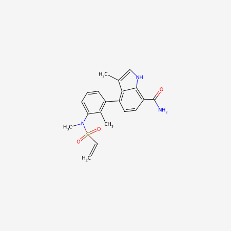 C=CS(=O)(=O)N(C)c1cccc(-c2ccc(C(N)=O)c3[nH]cc(C)c23)c1C